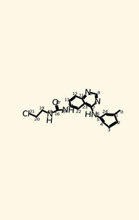 Cc1cccc(Nc2ncnc3ccc(NC(=O)NCCCl)cc23)c1